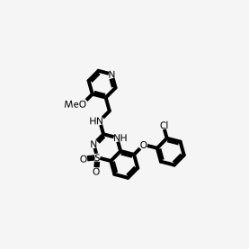 COc1ccncc1CNC1=NS(=O)(=O)c2cccc(Oc3ccccc3Cl)c2N1